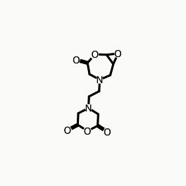 O=C1CN(CCN2CC(=O)OC3OC3C2)CC(=O)O1